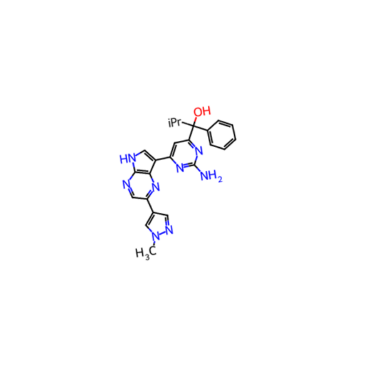 CC(C)C(O)(c1ccccc1)c1cc(-c2c[nH]c3ncc(-c4cnn(C)c4)nc23)nc(N)n1